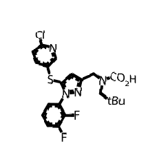 CC(C)(C)CN(Cc1cc(Sc2ccc(Cl)nc2)n(-c2cccc(F)c2F)n1)C(=O)O